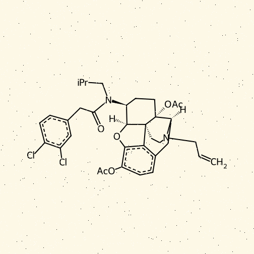 C=CCN1CC[C@]23c4c5ccc(OC(C)=O)c4O[C@H]2[C@@H](N(CC(C)C)C(=O)Cc2ccc(Cl)c(Cl)c2)CC[C@@]3(OC(C)=O)[C@H]1C5